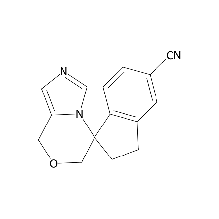 N#Cc1ccc2c(c1)CCC21COCc2cncn21